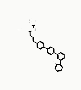 CC(C)(C)OC(=O)NC(CC=Cc1ccc(-c2ccc(-c3cccc4c3oc3ccccc34)cc2)cc1)C(=O)O